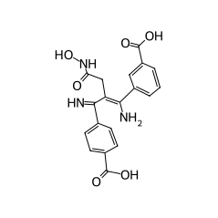 N=C(/C(CC(=O)NO)=C(\N)c1cccc(C(=O)O)c1)c1ccc(C(=O)O)cc1